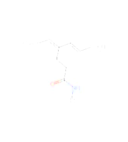 CCCCC/C=C(/C=C/C(=O)O)CCC(=O)NCC